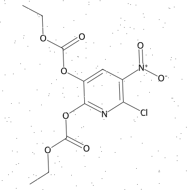 CCOC(=O)Oc1cc([N+](=O)[O-])c(Cl)nc1OC(=O)OCC